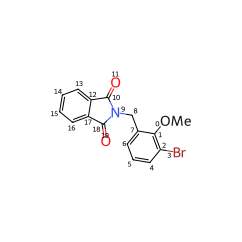 COc1c(Br)cccc1CN1C(=O)c2ccccc2C1=O